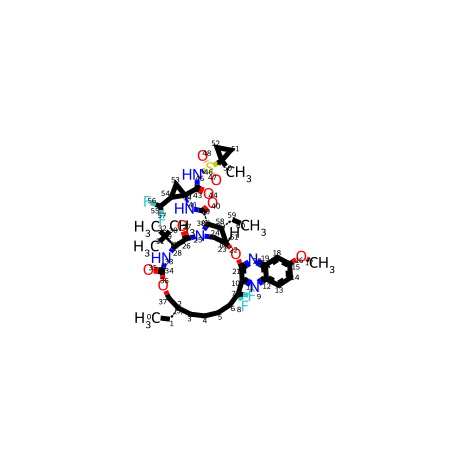 CC[C@H]1CCCCC(F)(F)c2nc3ccc(OC)cc3nc2O[C@H]2CN(C(=O)[C@H](C(C)(C)C)NC(=O)OC1)[C@H](C(=O)N[C@]1(C(=O)NS(=O)(=O)C3(C)CC3)CC1C(F)F)[C@@H]2CC